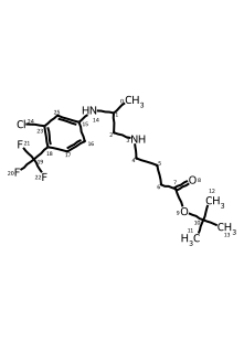 CC(CNCCCC(=O)OC(C)(C)C)Nc1ccc(C(F)(F)F)c(Cl)c1